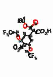 CCC(C)OC(=O)C(C(=O)O)c1cc(OCC(F)(F)F)c([N+](=O)[O-])c(OCC(F)(F)F)c1